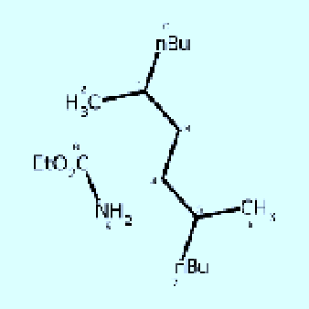 CCCCC(C)CCC(C)CCCC.CCOC(N)=O